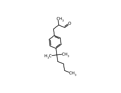 CCCCC(C)(C)c1ccc(CC(C)C=O)cc1